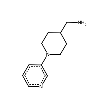 NCC1CCN(c2cccnc2)CC1